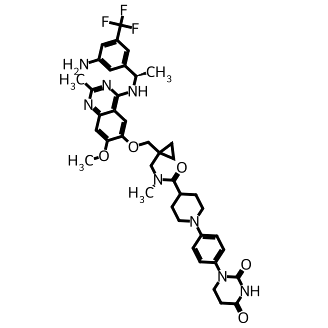 COc1cc2nc(C)nc(N[C@H](C)c3cc(N)cc(C(F)(F)F)c3)c2cc1OCC1(CN(C)C(=O)C2CCN(c3ccc(N4CCC(=O)NC4=O)cc3)CC2)CC1